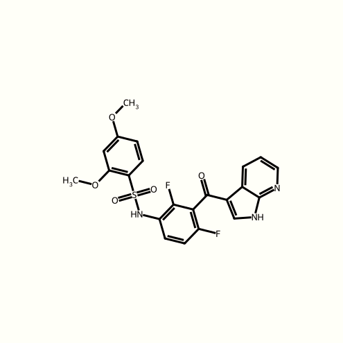 COc1ccc(S(=O)(=O)Nc2ccc(F)c(C(=O)c3c[nH]c4ncccc34)c2F)c(OC)c1